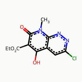 CCOC(=O)c1c(O)c2cc(Cl)nnc2n(C)c1=O